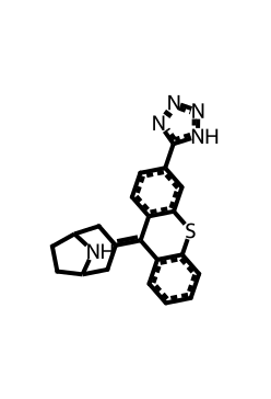 c1ccc2c(c1)Sc1cc(-c3nnn[nH]3)ccc1C2=C1CC2CCC(C1)N2